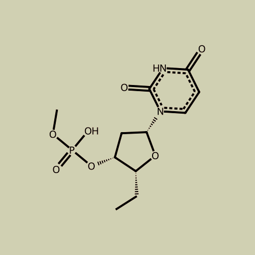 CC[C@H]1O[C@@H](n2ccc(=O)[nH]c2=O)C[C@H]1OP(=O)(O)OC